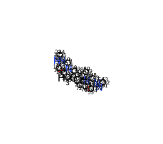 CC1(C)c2cc(N(c3cccc(-n4c(-c5ccccc5)nc5ccccc54)c3)c3cccc4ccccc34)ccc2-c2c1cc(N(c1cccc(-n3c(-c4ccccc4)nc4ccccc43)c1)c1cccc3ccccc13)c1ccccc21